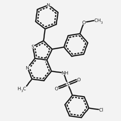 COc1cccc(-c2c(-c3ccncc3)sc3nc(C)cc(NS(=O)(=O)c4cccc(Cl)c4)c23)c1